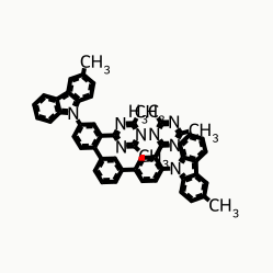 Cc1ccc2c(c1)c1ccccc1n2-c1ccc(-c2cccc(-c3ccc(-n4c5ccccc5c5cc(C)ccc54)c(-c4nc(C)nc(C)n4)c3)c2)c(-c2nc(C)nc(C)n2)c1